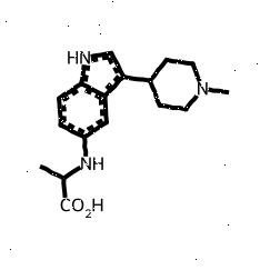 CC(Nc1ccc2[nH]cc(C3CCN(C)CC3)c2c1)C(=O)O